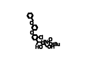 CC(CC(O)C(CO)NC(=O)OC(C)(C)C)c1ccc(Oc2cccc(OCc3ccccc3)c2)cc1Cl